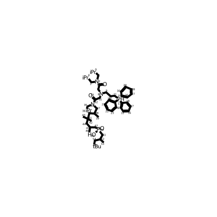 CC(C)CN(CC(C)C)C(=O)CN(CCC[PH](c1ccccc1)(c1ccccc1)c1ccccc1)CC(=O)N(CC(C)C)CC(C)CC(C)(C)CC(C)CP(=O)(O)CC(C)CC(C)(C)C